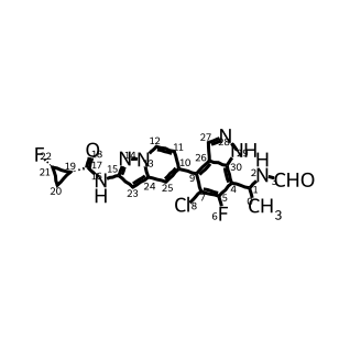 CC(NC=O)c1c(F)c(Cl)c(-c2ccn3nc(NC(=O)[C@@H]4C[C@@H]4F)cc3c2)c2cn[nH]c12